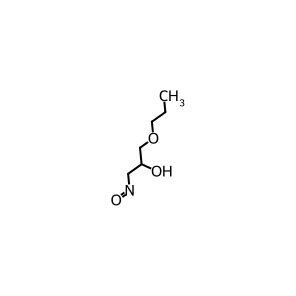 CCCOCC(O)CN=O